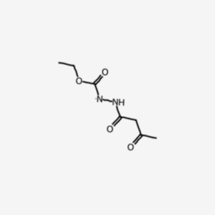 CCOC(=O)[N]NC(=O)CC(C)=O